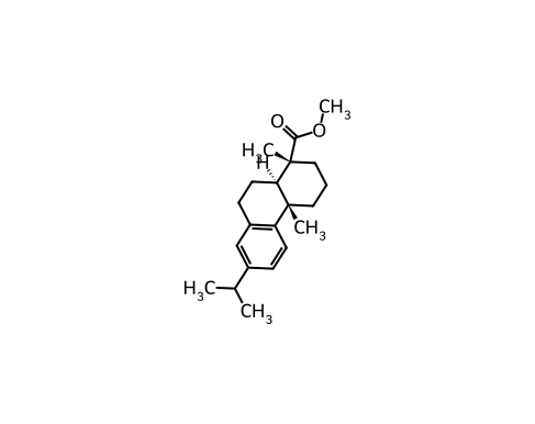 COC(=O)[C@]1(C)CCC[C@]2(C)c3ccc(C(C)C)cc3CC[C@@H]12